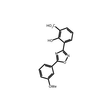 COc1cccc(-c2nc(-c3cccc(C(=O)O)c3O)no2)c1